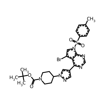 Cc1ccc(S(=O)(=O)n2cc(Br)c3c(-c4cnn(C5CCN(C(=O)OC(C)(C)C)CC5)c4)ncnc32)cc1